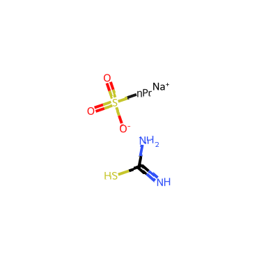 CCCS(=O)(=O)[O-].N=C(N)S.[Na+]